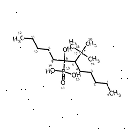 CCCCCC(C(O)(CCCCC)P(=O)(O)O)[N+](C)(C)C